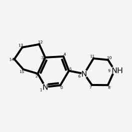 c1nc2c(cc1N1CCNCC1)CCCC2